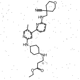 CCOC(=O)C[C@@H](C)N[C@H]1CC[C@H](Nc2cc(-c3cccc(NCC4(C#N)CCOCC4)n3)c(C)cn2)CC1